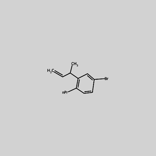 C=C[C](C)c1cc(Br)ccc1CCC